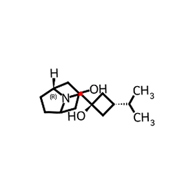 CC(C)[C@H]1C[C@@](O)(CN2C3CC[C@@H]2CC(O)C3)C1